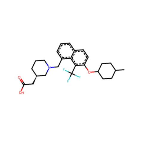 CC1CCC(Oc2ccc3cccc(CN4CCC[C@H](CC(=O)O)C4)c3c2C(F)(F)F)CC1